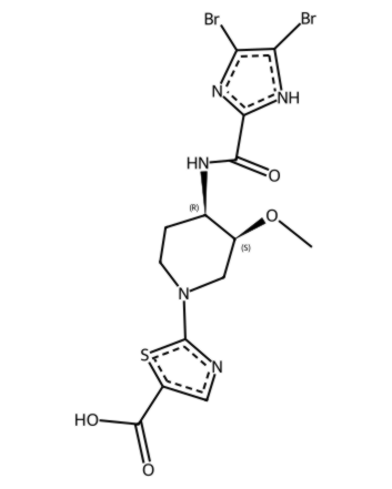 CO[C@H]1CN(c2ncc(C(=O)O)s2)CC[C@H]1NC(=O)c1nc(Br)c(Br)[nH]1